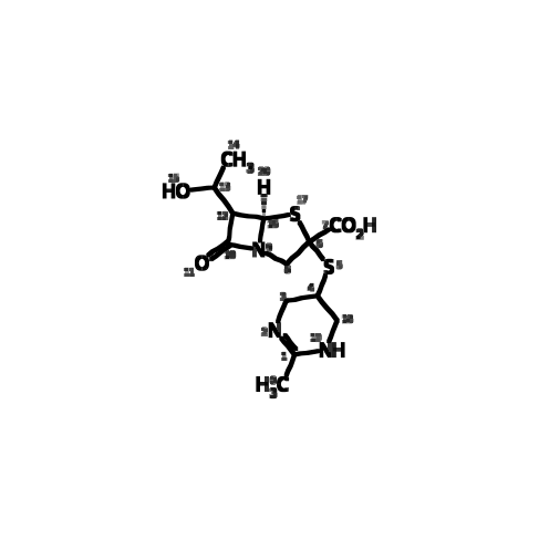 CC1=NCC(SC2(C(=O)O)CN3C(=O)C(C(C)O)[C@H]3S2)CN1